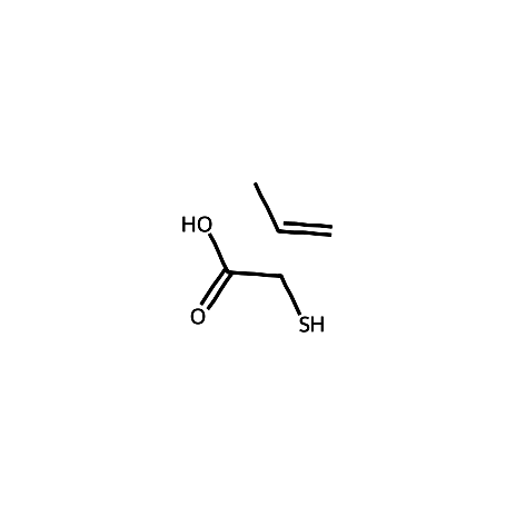 C=CC.O=C(O)CS